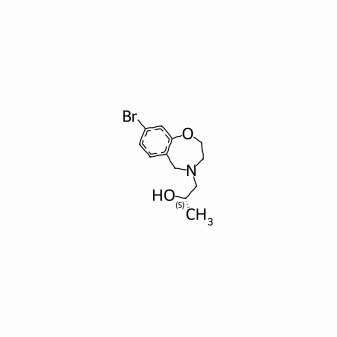 C[C@H](O)CN1CCOc2cc(Br)ccc2C1